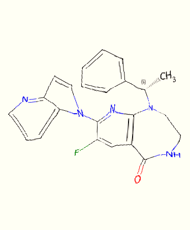 C[C@@H](c1ccccc1)N1CCNC(=O)c2cc(F)c(-n3ccc4ncccc43)nc21